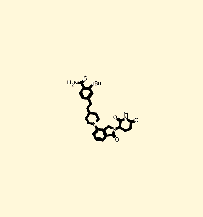 CC(C)(C)c1cc(CCC2CCN(c3cccc4c3CN(C3CCC(=O)NC3=O)C4=O)CC2)ccc1C(N)=O